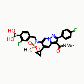 CNC(=O)c1c(-c2ccc(F)cc2)nn2cc(N(Cc3ccc(B(O)O)c(F)c3)S(C)(=O)=O)c(C3CC3)cc12